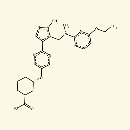 CCOc1ccnc(N(C)Cc2c(-c3ncc(O[C@H]4CCCC(C(=O)O)C4)cn3)cnn2C)n1